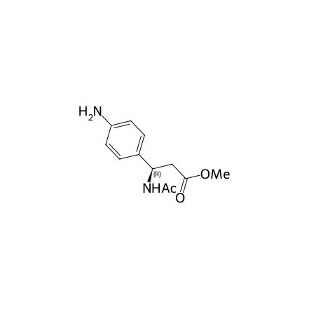 COC(=O)C[C@@H](NC(C)=O)c1ccc(N)cc1